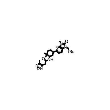 Cc1nonc1CC(=O)NC1CC(c2ccc3c(n2)n(C)c(=O)n3CC(C)(C)C)CCC1(C)C